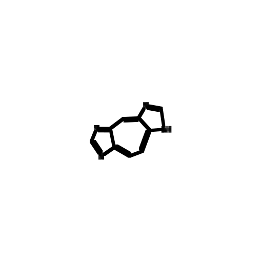 c1nc2ccc3[nH]cnc3cc-2n1